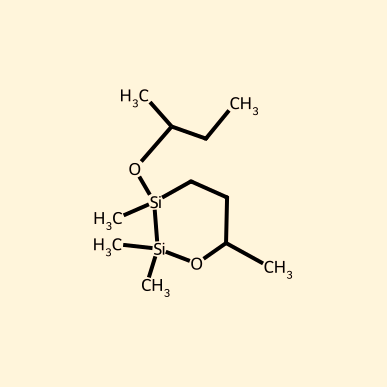 CCC(C)O[Si]1(C)CCC(C)O[Si]1(C)C